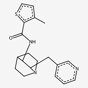 Cc1ccsc1C(=O)NC1C2CCN(CC2)C1Cc1cccnc1